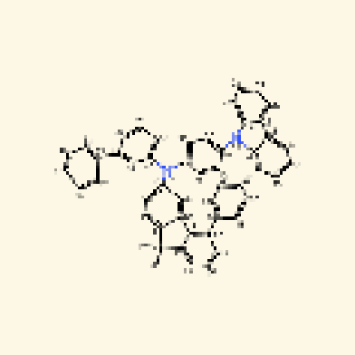 CC1(C)c2ccc(N(c3ccc(-n4c5ccccc5c5ccccc54)cc3)c3cccc(-c4ccccc4)c3)cc2-c2c(-c3ccccc3)cccc21